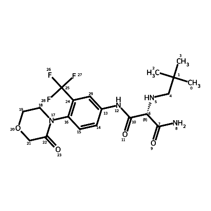 CC(C)(C)CN[C@H](C(N)=O)C(=O)Nc1ccc(N2CCOCC2=O)c(C(F)(F)F)c1